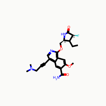 CCC1[C@H](F)C(=O)N[C@@H]1COc1ncc(C#CCN(C)C)c2cc(C(N)=O)c(OC)cc12